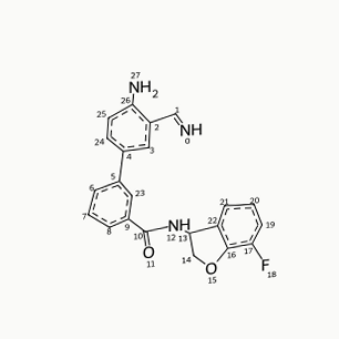 N=Cc1cc(-c2cccc(C(=O)NC3COc4c(F)cccc43)c2)ccc1N